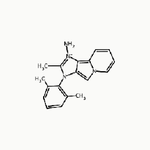 Cc1cccc(C)c1-n1c(C)[n+](N)c2c1cn1ccccc21